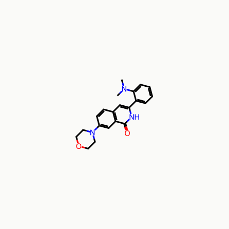 CN(C)c1ccccc1-c1cc2ccc(N3CCOCC3)cc2c(=O)[nH]1